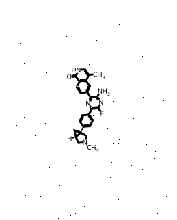 Cc1c[nH]c(=O)c2ccc(-c3nc(-c4ccc([C@]56C[C@H]5CN(C)C6)cc4)c(F)nc3N)cc12